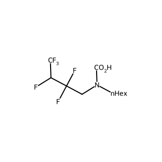 CCCCCCN(CC(F)(F)C(F)C(F)(F)F)C(=O)O